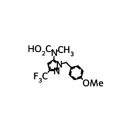 COc1ccc(Cn2nc(C(F)(F)F)cc2N(C)C(=O)O)cc1